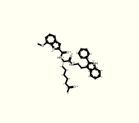 COc1cccc2cc(C(=O)N[C@@H](CCCCCC(C)=O)C(=O)NCCc3c(-c4ccccc4)[nH]c4ccccc34)oc12